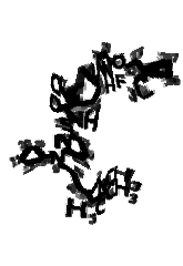 CN1CC(CCCN(c2ccccc2)c2cccc(SNC(=O)c3ccc(N4C=CC(OCCC5(C(F)(F)F)CC5)N4)nc3Cl)n2)CC1(C)C